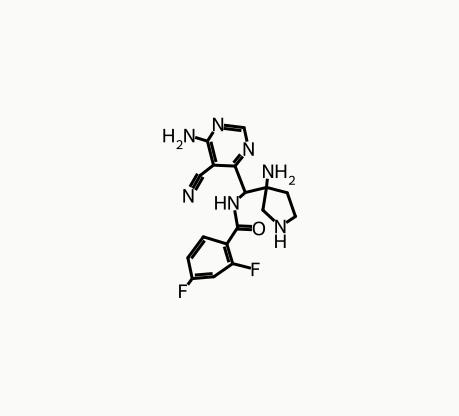 N#Cc1c(N)ncnc1C(NC(=O)c1ccc(F)cc1F)C1(N)CCNC1